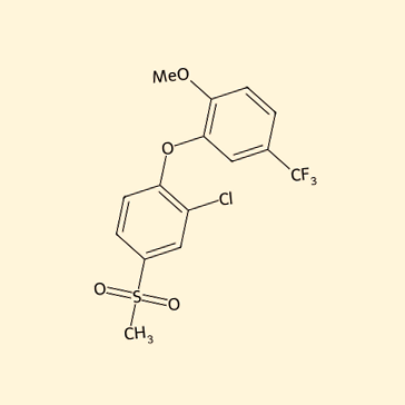 COc1ccc(C(F)(F)F)cc1Oc1ccc(S(C)(=O)=O)cc1Cl